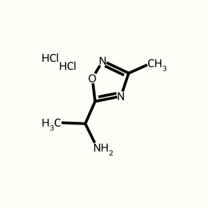 Cc1noc(C(C)N)n1.Cl.Cl